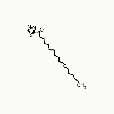 CCCCCCCCC=CCCCCCCCC(=O)c1nncs1